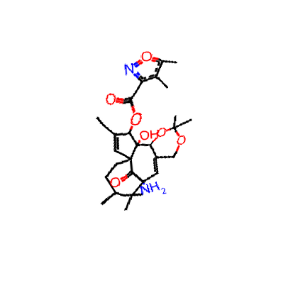 CC1=CC23CCC(C)C(C)(C)C(N)(C=C4COC(C)(C)OC4C2(O)C1OC(=O)c1noc(C)c1C)C3=O